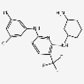 NC1CCCC(Nc2nc(Nc3cc(Cl)cc(Cl)c3)ncc2C(F)(F)F)C1